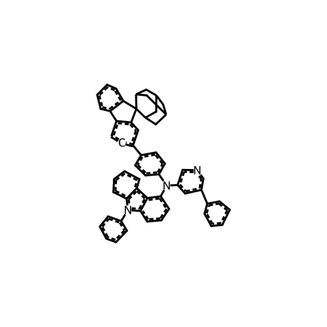 c1ccc(-c2cncc(N(c3ccc(-c4ccc5c(c4)C4(c6ccccc6-5)C5CC6CC(C5)CC4C6)cc3)c3cccc4c3c3ccccc3n4-c3ccccc3)c2)cc1